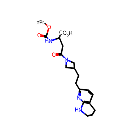 CCCOC(=O)NC(CC(=O)N1CC(CCc2ccc3c(n2)NCCC3)C1)C(=O)O